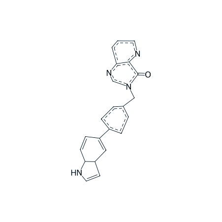 O=c1c2ncccc2ncn1Cc1ccc(C2=CC3C=CNC3C=C2)cc1